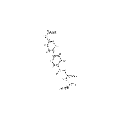 CCCCCCC(C)OC(=O)CC(C)c1ccc(-c2ncc(OCCCCC)cn2)cc1